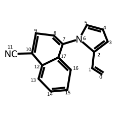 C=Cc1cccn1-c1ccc(C#N)c2ccccc12